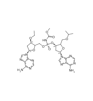 CCO[C@@H]1C[C@H](n2cnc3c(N)ncnc32)OC1COP(=O)(NC(=O)OC)O[C@@H]1C[C@H](n2cnc3c(N)ncnc32)OC1COC(C)C